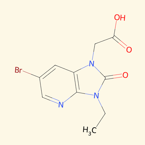 CCn1c(=O)n(CC(=O)O)c2cc(Br)cnc21